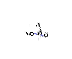 COC(CCCNC(=O)/C(=C\c1cccnc1)NC(=O)/C=C/c1ccc(N=[N+]=[N-])cc1)OC